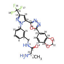 C[C@H](N)C(=O)NCc1cccc(-n2nc(C(F)(F)F)cc2-c2nnc(-c3ccc4c(c3)OCO4)o2)c1